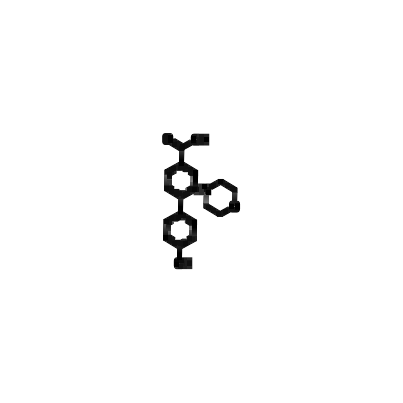 C1COCCN1.O=C(O)c1ccc(-c2ccc(O)cc2)cc1